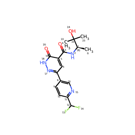 C[C@@H](NC(=O)c1cc(-c2ccc(C(F)F)nc2)n[nH]c1=O)C(C)(C)O